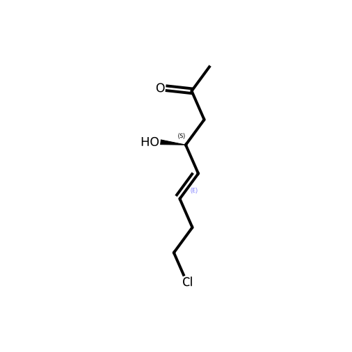 CC(=O)C[C@H](O)/C=C/CCCl